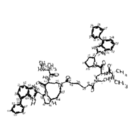 CCN(C[C@H](NC(=O)[C@H](C)NC)C(=O)N1CCC[C@H]1c1nc2cccc(-c3ccccc3)c2[nH]1)C(=O)CCCCC(=O)N1CC[C@H]2CC[C@@H](c3nc4cccc(-c5ccccc5)c4[nH]3)N2C(=O)[C@@H](NC(=O)[C@H](C)NC)C1